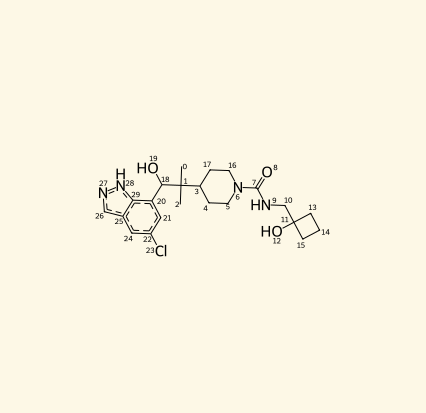 CC(C)(C1CCN(C(=O)NCC2(O)CCC2)CC1)C(O)c1cc(Cl)cc2cn[nH]c12